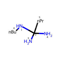 CCCCNC(N)(N)CCC